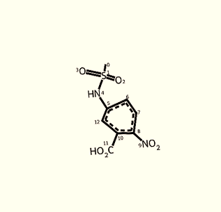 CS(=O)(=O)Nc1ccc([N+](=O)[O-])c(C(=O)O)c1